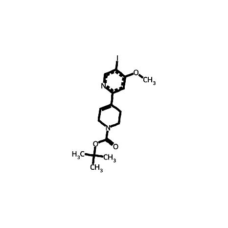 COc1cc(C2=CCN(C(=O)OC(C)(C)C)CC2)ncc1I